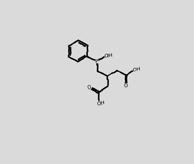 O=C(O)CC(CC(=O)O)CP(O)c1ccccc1